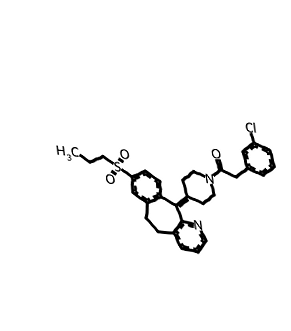 CCCS(=O)(=O)c1ccc2c(c1)CCc1cccnc1C2=C1CCN(C(=O)Cc2cccc(Cl)c2)CC1